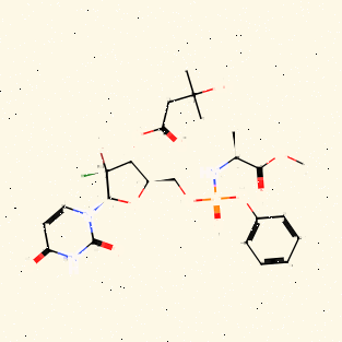 CC(C)OC(=O)[C@H](C)NP(=O)(OC[C@H]1O[C@@H](n2ccc(=O)[nH]c2=O)[C@](Cl)(Br)[C@@H]1OC(=O)CC(C)(C)O)Oc1ccccc1